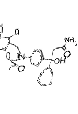 CS(=O)(=O)N(Cc1cccc(Cl)c1Cl)c1ccc(C(O)(CC(N)=O)c2ccccc2)cc1